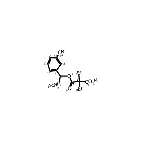 CCC(CC)(C(=O)O)C(=O)OC(NC(C)=O)c1cccc(C#N)c1